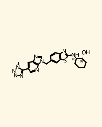 Cn1nnnc1-c1cnc2c(c1)ncn2Cc1ccc2nc(N[C@@H]3CCCC[C@H]3O)sc2c1